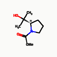 COC(=O)N1CCC[C@H]1C(C)(C)O